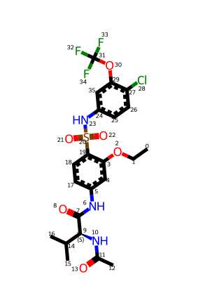 CCOc1cc(NC(=O)[C@@H](NC(C)=O)C(C)C)ccc1S(=O)(=O)Nc1ccc(Cl)c(OC(F)(F)F)c1